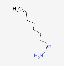 C=CCCCCC/C=C\N